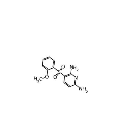 COc1ccccc1S(=O)(=O)c1ccc(N)nc1N